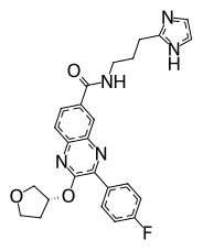 O=C(NCCCc1ncc[nH]1)c1ccc2nc(O[C@@H]3CCOC3)c(-c3ccc(F)cc3)nc2c1